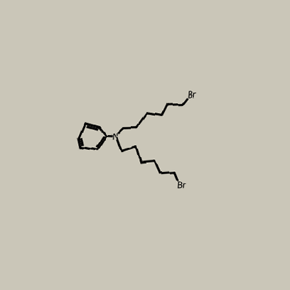 BrCCCCCCN(CCCCCCBr)c1ccccc1